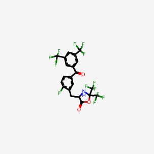 O=C(c1cc(C(F)(F)F)cc(C(F)(F)F)c1)c1ccc(F)c(CC2NC(C(F)(F)F)(C(F)(F)F)OC2=O)c1